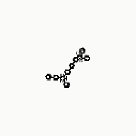 c1ccc(-c2ccc(-c3nc(-c4ccccc4)nc(-c4ccc(-c5ccc(-c6ccc7c(c6)nc(-c6ccccc6)c6c8ccccc8oc76)cc5)cc4)n3)cc2)cc1